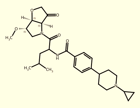 CO[C@H]1CN(C(=O)C(CC(C)C)NC(=O)c2ccc(C3CCN(C4CC4)CC3)cc2)[C@@H]2C(=O)CO[C@H]12